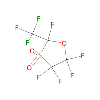 O=S1(=O)C(F)(F)C(F)(F)OC1(F)C(F)(F)F